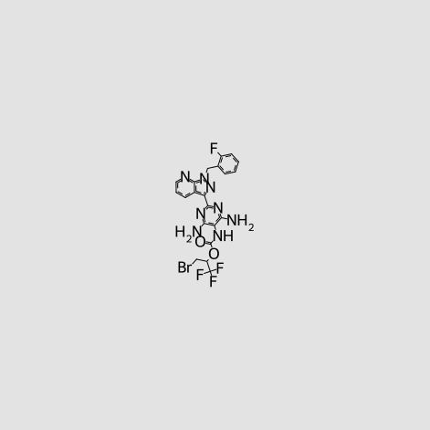 Nc1nc(-c2nn(Cc3ccccc3F)c3ncccc23)nc(N)c1NC(=O)OC(CBr)C(F)(F)F